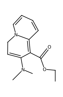 CCOC(=O)C1=C2C=CC=CN2CC=C1N(C)C